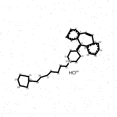 C1=Cc2ccccc2C(=C2CCN(CCCCCCCC3CCCCC3)CC2)c2ccccc21.Cl